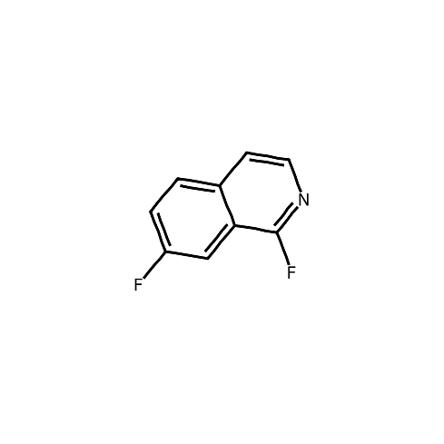 Fc1ccc2ccnc(F)c2c1